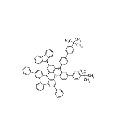 CC(C)(C)c1ccc(-c2ccc(N3c4cc(-c5ccc(C(C)(C)C)cc5)ccc4B4c5cc(-c6ccccc6)cc6c5N(c5ccc(-c7ccccc7)cc5-c5ccccc5-6)c5cc(-n6c7ccccc7c7ccccc76)cc3c54)cc2)cc1